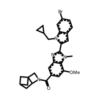 COc1cc(C(=O)N2CC34CC(CC23)C4)cc2nc(-c3cc4ccc(Br)cc4n3CC3CC3)n(C)c12